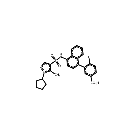 Cc1c(S(=O)(=O)Nc2ccc(-c3cc(C(=O)O)ccc3F)c3ccccc23)cnn1C1CCCC1